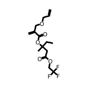 C=CCOCC(=C)C(=O)OC(C)(CC)CC(=O)OCC(F)(F)F